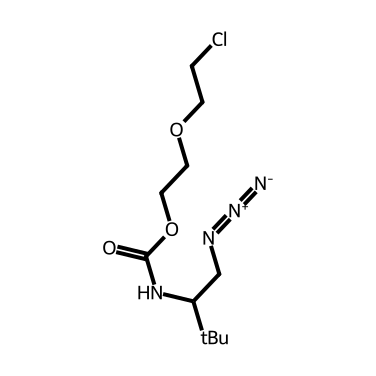 CC(C)(C)C(CN=[N+]=[N-])NC(=O)OCCOCCCl